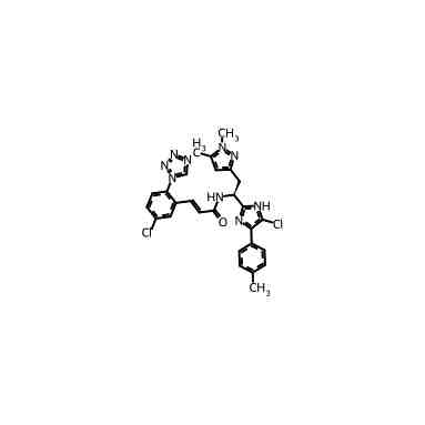 Cc1ccc(-c2nc([C@H](Cc3cc(C)n(C)n3)NC(=O)/C=C/c3cc(Cl)ccc3-n3cnnn3)[nH]c2Cl)cc1